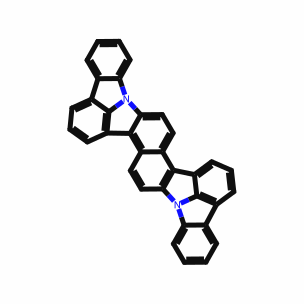 c1ccc2c(c1)c1cccc3c4c5ccc6c(c5ccc4n2c13)c1cccc2c3ccccc3n6c21